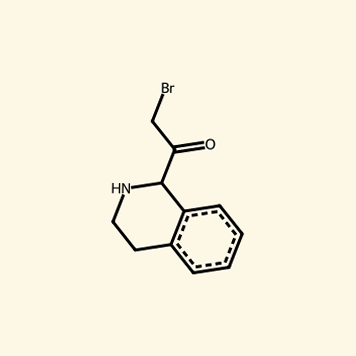 O=C(CBr)C1NCCc2ccccc21